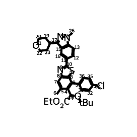 CCOC(=O)[C@@H](OC(C)(C)C)c1c(C)cc2nc(-c3ccc4c(c3)c(C3CCOCC3)nn4C)sc2c1-c1ccc(Cl)cc1